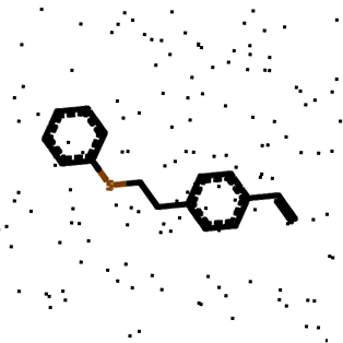 C=Cc1ccc(CCSc2ccccc2)cc1